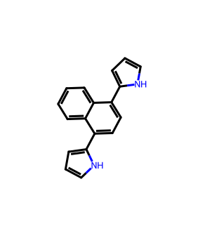 c1c[nH]c(-c2ccc(-c3ccc[nH]3)c3ccccc23)c1